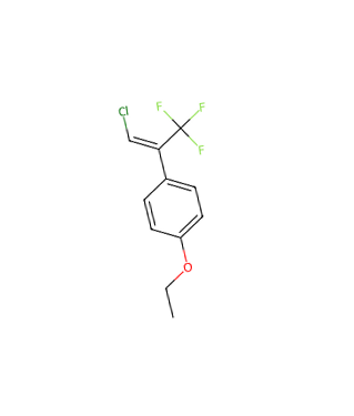 CCOc1ccc(/C(=C/Cl)C(F)(F)F)cc1